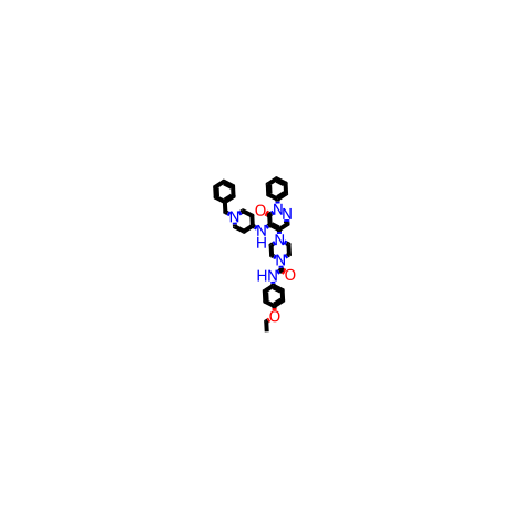 CCOc1ccc(NC(=O)N2CCN(c3cnn(-c4ccccc4)c(=O)c3NC3CCN(Cc4ccccc4)CC3)CC2)cc1